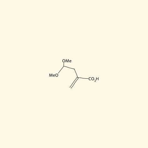 C=C(CC(OC)OC)C(=O)O